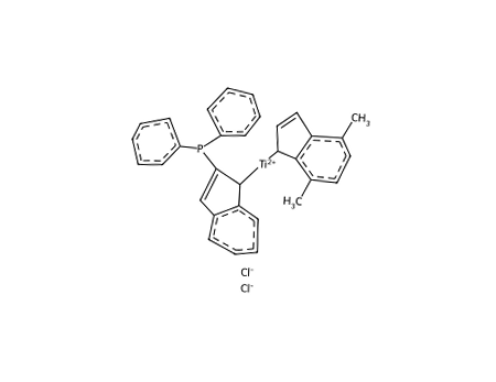 Cc1ccc(C)c2c1C=C[CH]2[Ti+2][CH]1C(P(c2ccccc2)c2ccccc2)=Cc2ccccc21.[Cl-].[Cl-]